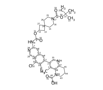 Cc1c(-c2cc3cc(NC(=O)OC4CC5(CCN(C(=O)OC(C)(C)C)CC5)C4)ncc3c(Cl)c2F)cnc2c1N(C(=O)O)CCC2